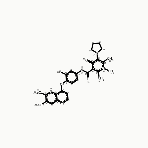 COc1cc2nccc(Oc3ccc(NC(=O)c4c(C)n(C)c(C)c(N5CCCC5)c4=O)cc3F)c2nc1OC